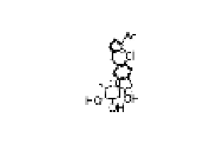 CC(=O)c1ccc(Cc2cc3c(cc2Cl)CO[C@]32O[C@H](C)[C@@H](O)[C@H](O)[C@H]2O)s1